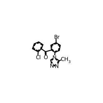 Cc1nncn1-c1ccc(Br)cc1C(=O)c1ccccc1Cl